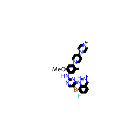 COc1cc(N2CCC(N3CCN(C)CC3)CC2)c(C)cc1Nc1ncc(Br)c(Nc2cc(F)ccc2CN(C)C)n1